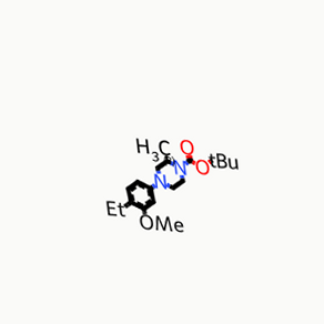 CCc1ccc(N2CCN(C(=O)OC(C)(C)C)[C@H](C)C2)cc1OC